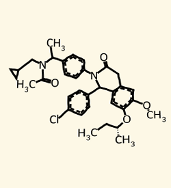 CC[C@@H](C)Oc1cc2c(cc1OC)CC(=O)N(c1ccc(C(C)N(CC3CC3)C(C)=O)cc1)C2c1ccc(Cl)cc1